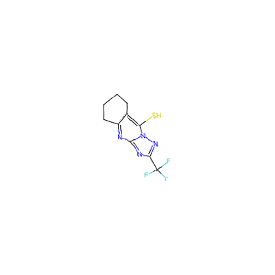 FC(F)(F)c1nc2nc3c(c(S)n2n1)CCCC3